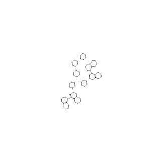 c1ccc(-c2cccc(-c3ccc(N(c4cccc(-c5cc6ccccc6c6c5oc5ccc7ccccc7c56)c4)c4cccc(-c5cc6ccccc6c6c5oc5ccc7ccccc7c56)c4)cc3)c2)cc1